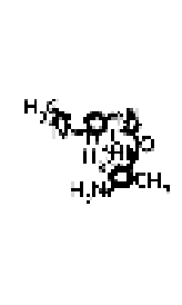 Cc1cnn(Cc2ccc(Cn3ncc(C(=O)NCc4c(C)cc(CN)cc4C)c3C)cc2)c1